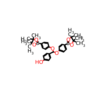 CC1(C)OB(c2ccc(OC(Oc3ccc(B4OC(C)(C)C(C)(C)O4)cc3)c3ccc(O)cc3)cc2)OC1(C)C